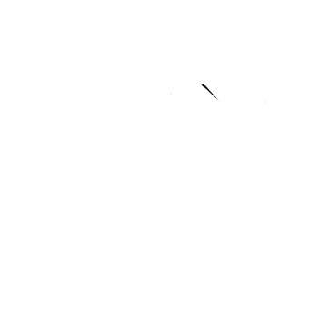 c1ccc(COC[C@H]2OCC[C@@H]2OCc2ccccc2)cc1